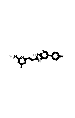 Cc1cc(N)nc(C=Cc2nc3cc(-c4ccc(F)cc4)cnc3[nH]2)c1